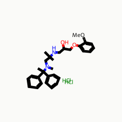 COc1ccccc1OCC(O)CNC(C)(C)CN(C)C(C)(c1ccccc1)c1ccccc1.Cl.Cl